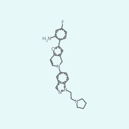 Nc1cc(F)ccc1-c1cc2c(o1)C=CN(c1ccc3c(cnn3CCN3CCCC3)c1)C2